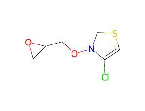 ClC1=CSCN1OCC1CO1